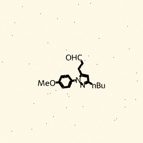 CCCCc1cc(CCC=O)n(-c2ccc(OC)cc2)n1